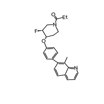 CCC(=O)N1CC[C@@H](Oc2ccc(-c3ccc4cccnc4c3C)cc2)[C@@H](F)C1